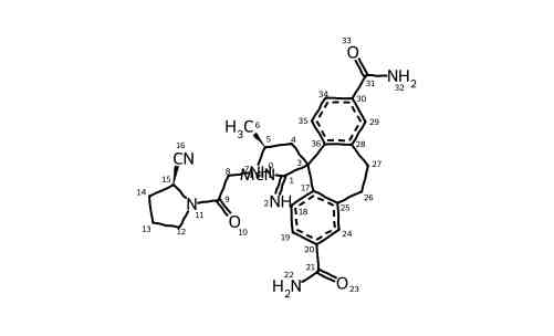 CNC(=N)C1(C[C@H](C)NCC(=O)N2CCC[C@H]2C#N)c2ccc(C(N)=O)cc2CCc2cc(C(N)=O)ccc21